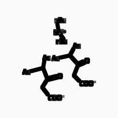 CC(=O)C(C(C)=O)C(=O)CC(=O)[O-].CC(=O)C(C(C)=O)C(=O)CC(=O)[O-].CCC[CH2][Sn+2][CH2]CCC